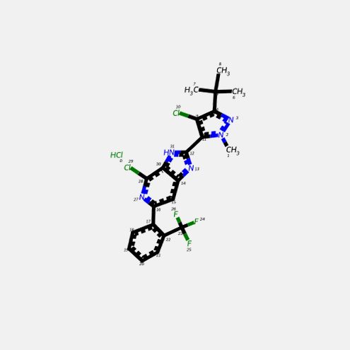 Cl.Cn1nc(C(C)(C)C)c(Cl)c1-c1nc2cc(-c3ccccc3C(F)(F)F)nc(Cl)c2[nH]1